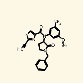 C#Cc1nc(C(=O)N(c2cc(OC(C)C)cc(C(F)(F)F)c2)C2CCN(Cc3ccccc3)C2=O)cs1